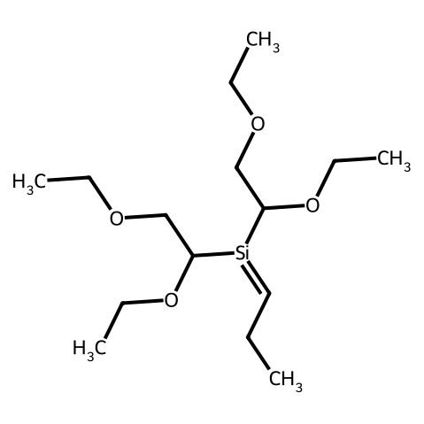 CCC=[Si](C(COCC)OCC)C(COCC)OCC